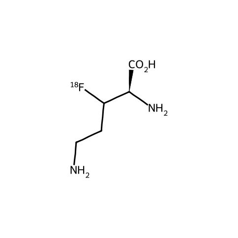 NCCC([18F])[C@H](N)C(=O)O